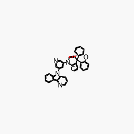 c1ccc2c(c1)Oc1ccccc1C21c2ccccc2N(c2cncc(-n3c4ccccc4c4ncccc43)c2)c2ccccc21